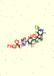 CC(c1ccc(-c2nc(OC(=O)O)no2)cc1Cl)C(O)(c1ccnc(Cl)c1)C(F)(F)F